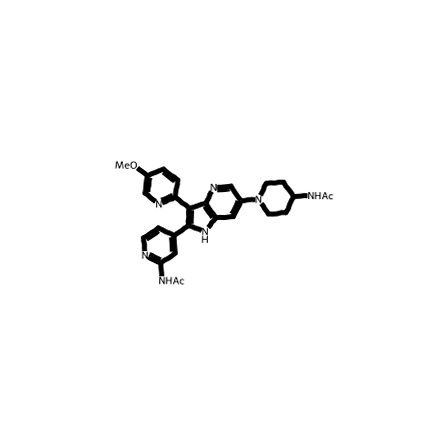 COc1ccc(-c2c(-c3ccnc(NC(C)=O)c3)[nH]c3cc(N4CCC(NC(C)=O)CC4)cnc23)nc1